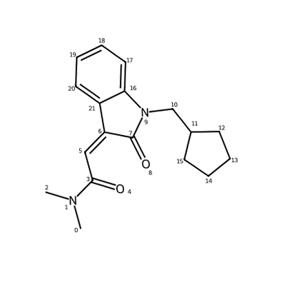 CN(C)C(=O)C=C1C(=O)N(CC2CCCC2)c2ccccc21